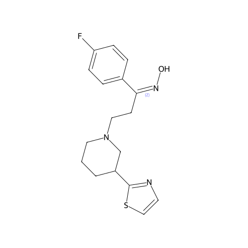 O/N=C(/CCN1CCCC(c2nccs2)C1)c1ccc(F)cc1